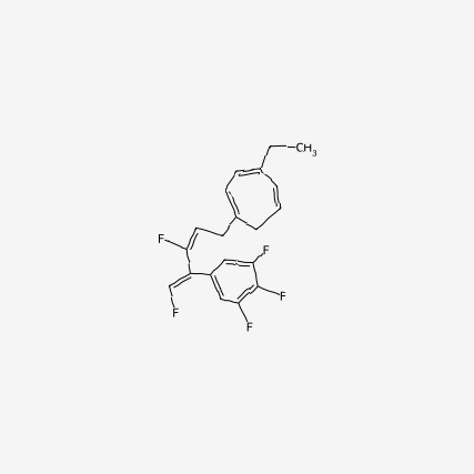 CCC1=CC=C(C/C=C(F)\C(=C\F)c2cc(F)c(F)c(F)c2)CC=C1